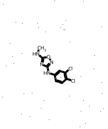 CNc1nc(Nc2ccc(Cl)c(Cl)c2)no1